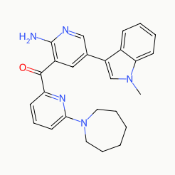 Cn1cc(-c2cnc(N)c(C(=O)c3cccc(N4CCCCCC4)n3)c2)c2ccccc21